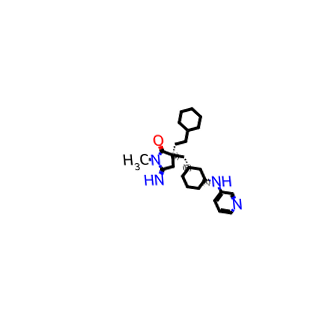 CN1C(=N)C[C@](CCC2CCCCC2)(C[C@H]2CCC[C@@H](Nc3cccnc3)C2)C1=O